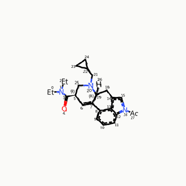 CCN(CC)C(=O)[C@@H]1C=C2c3cccc4c3c(cn4C(C)=O)C[C@H]2N(CC2CC2)C1